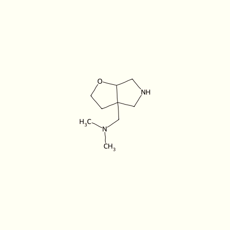 CN(C)CC12CCOC1CNC2